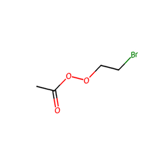 CC(=O)OOCCBr